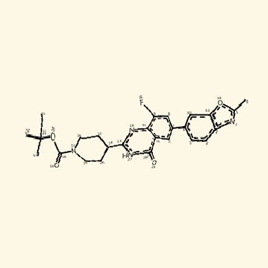 Cc1nc2ccc(-c3cc(F)c4nc(C5CCN(C(=O)OC(C)(C)C)CC5)[nH]c(=O)c4c3)cc2o1